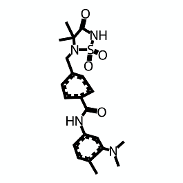 Cc1ccc(NC(=O)c2ccc(CN3C(C)(C)C(=O)NS3(=O)=O)cc2)cc1N(C)C